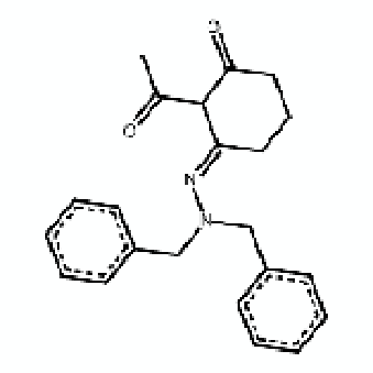 CC(=O)C1C(=O)CCC/C1=N\N(Cc1ccccc1)Cc1ccccc1